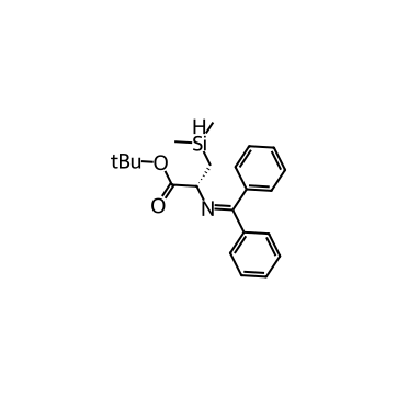 C[SiH](C)C[C@H](N=C(c1ccccc1)c1ccccc1)C(=O)OC(C)(C)C